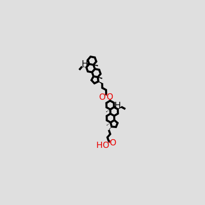 CC[C@H]1CC2C3CC[C@H](CCCC(=O)O[C@@H]4CC[C@]5(C)C6CC[C@@]7(C)C(CC[C@@H]7CCCC(=O)O)C6C[C@H](CC)[C@@H]5C4)[C@@]3(C)CCC2[C@@]2(C)CCCC[C@@H]12